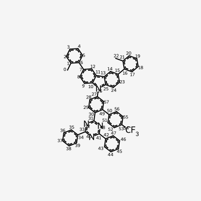 Cc1ccccc1-c1ccc2c(c1)c1cc(-c3ccccc3C)ccc1n2-c1ccc(-c2nc(-c3ccccc3)nc(-c3ccccc3)n2)c(-c2ccc(C(F)(F)F)cc2)c1